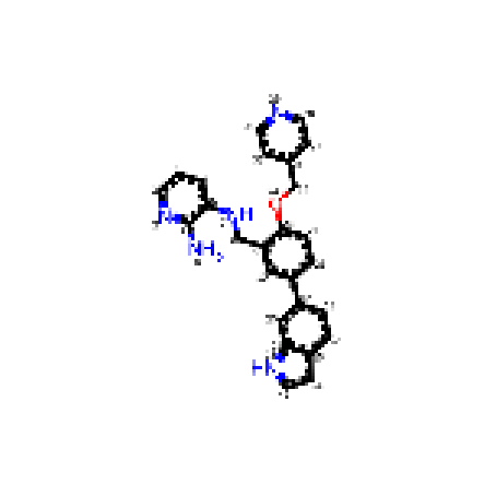 Nc1ncccc1NCc1cc(-c2ccc3cc[nH]c3c2)ccc1OCc1ccncc1